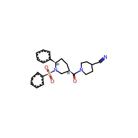 N#CC1CCN(C(=O)[C@@H]2CC[C@H](c3ccccc3)N(S(=O)(=O)c3ccccc3)C2)CC1